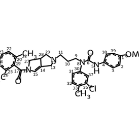 COc1ccc(NC(=O)N(CCCN2CC3=CN(C(=O)c4c(C)ccnc4C)CC3C2)c2ccc(C)c(Cl)c2)cc1